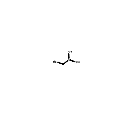 CCCCN(CCC)CC(C)(C)C